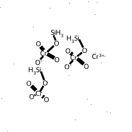 [Cr+3].[O]=[Cr](=[O])([O-])[O][SiH3].[O]=[Cr](=[O])([O-])[O][SiH3].[O]=[Cr](=[O])([O-])[O][SiH3]